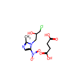 Cc1ncc([N+](=O)[O-])n1CC(O)CCl.O=C(O)CCC(=O)O